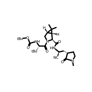 CN1CC[C@@H](C[C@@H](C#N)NC(=O)[C@@H]2[C@@H]3[C@H](CN2C(=O)[C@@H](NC(=O)OC(C)(C)C)C(C)(C)C)C3(C)C)C1=O